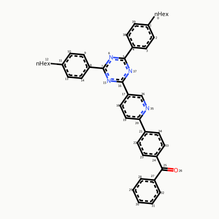 CCCCCCc1ccc(-c2nc(-c3ccc(CCCCCC)cc3)nc(-c3ccc(-c4ccc(C(=O)c5ccccc5)cc4)nc3)n2)cc1